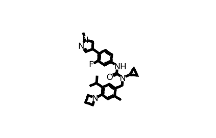 Cc1cc(N2CCC2)c(C(C)C)cc1CN(C(=O)Nc1ccc(C2C=NN(C)C2)c(F)c1)C1CC1